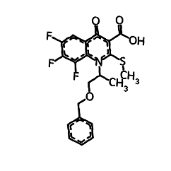 CSc1c(C(=O)O)c(=O)c2cc(F)c(F)c(F)c2n1C(C)COCc1ccccc1